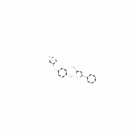 Cn1cc(Nc2ccc3c(c2)OCc2cc(-c4ccccc4)nn2C3)cn1